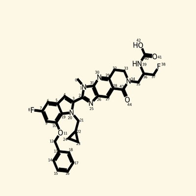 Cn1c(-c2cc3cc(F)cc(OCc4ccccc4)c3n2CC2CC2)nc2cc3c(nc21)CCN(CC(CF)NC(=O)O)C3=O